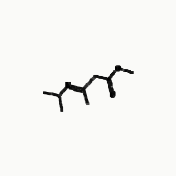 COC(=O)C/C(C)=N/C(C)C